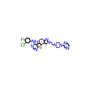 Fc1ccc(Nc2ncnc3sc4c(c23)CCc2nn(CCN3CCN(c5cnccn5)CC3)cc2-4)cc1Cl